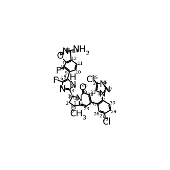 C[C@@H]1C[C@@H](c2nc(F)c(-c3ccc4c(N)noc4c3F)[nH]2)n2c1cc(-c1cc(Cl)ccc1-n1cc(Cl)nn1)cc2=O